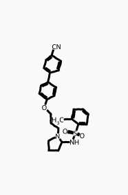 Cc1ccccc1S(=O)(=O)NC1CCCN1CCCOc1ccc(-c2ccc(C#N)cc2)cc1